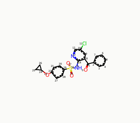 O=C(c1ccccc1)c1cc(Cl)cnc1NS(=O)(=O)c1ccc(OC2CC2)cc1